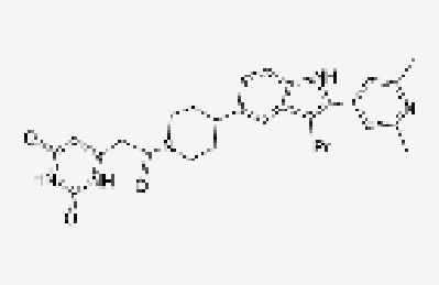 Cc1cc(-c2[nH]c3ccc(C4CCN(C(=O)Cc5cc(=O)[nH]c(=O)[nH]5)CC4)cc3c2C(C)C)cc(C)n1